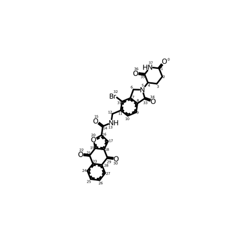 O=C1CCC(N2Cc3c(ccc(CNC(=O)c4cc5c(o4)C(=O)c4ccccc4C5=O)c3Br)C2=O)C(=O)N1